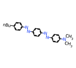 CCCCc1ccc(N=Nc2ccc(N=Nc3ccc(N(C)C)cc3)cc2)cc1